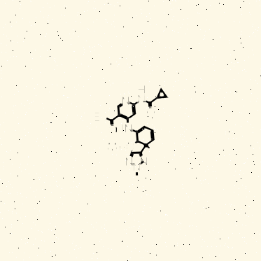 CCC(=O)c1cnc(NC(=O)C2CC2)cc1NC1=CC=CC(F)(c2cnn(C)n2)C1OC